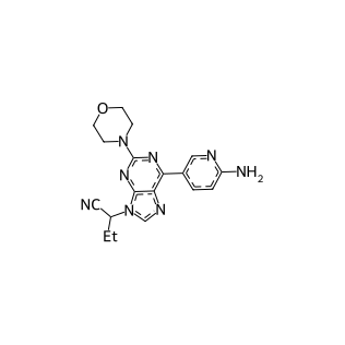 CCC(C#N)n1cnc2c(-c3ccc(N)nc3)nc(N3CCOCC3)nc21